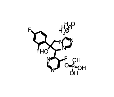 CC(c1ncncc1F)C(O)(Cn1cncn1)c1ccc(F)cc1F.O.O.O.O=P(O)(O)O